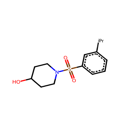 CC(C)c1cccc(S(=O)(=O)N2CCC(O)CC2)c1